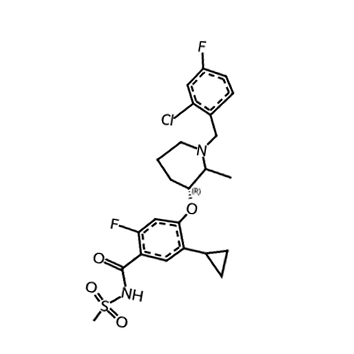 CC1[C@H](Oc2cc(F)c(C(=O)NS(C)(=O)=O)cc2C2CC2)CCCN1Cc1ccc(F)cc1Cl